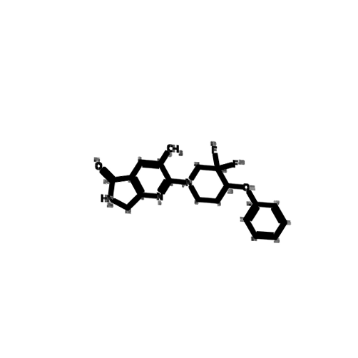 Cc1cc2c(nc1N1CCC(Oc3ccccc3)C(F)(F)C1)CNC2=O